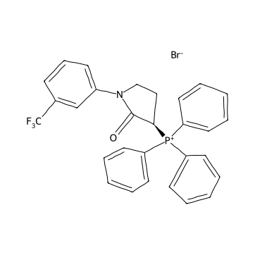 O=C1[C@H]([P+](c2ccccc2)(c2ccccc2)c2ccccc2)CCN1c1cccc(C(F)(F)F)c1.[Br-]